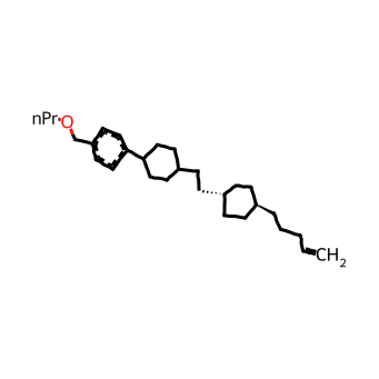 C=CCCC[C@H]1CC[C@H](CCC2CCC(c3ccc(COCCC)cc3)CC2)CC1